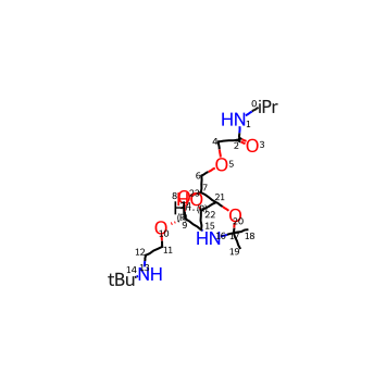 CC(C)NC(=O)COCC1O[C@@H](OCCNC(C)(C)C)C2NC(C)(C)OC1[C@@H]2O